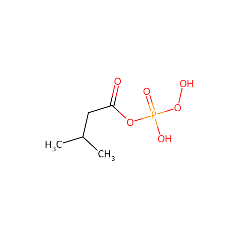 CC(C)CC(=O)OP(=O)(O)OO